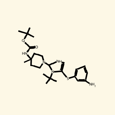 CC1(NC(=O)OC(C)(C)C)CCN(C2NC=C(Sc3cccc(N)c3)N2C(C)(C)C)CC1